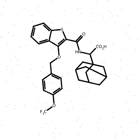 O=C(NC(C(=O)O)C12CC3CC(CC(C3)C1)C2)c1sc2ccccc2c1OCc1ccc(OC(F)(F)F)cc1